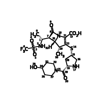 C[C@@H](NS(=O)(=O)C(F)(F)F)[C@H]1C(=O)N2C(C(=O)O)=C(S[C@@H]3CN[C@H](C(=O)N4CCC(O)CC4)C3)[C@H](C)[C@H]12